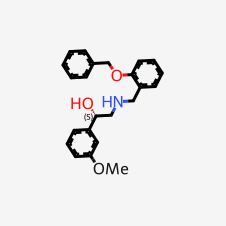 COc1cccc([C@H](O)CNCc2ccccc2OCc2ccccc2)c1